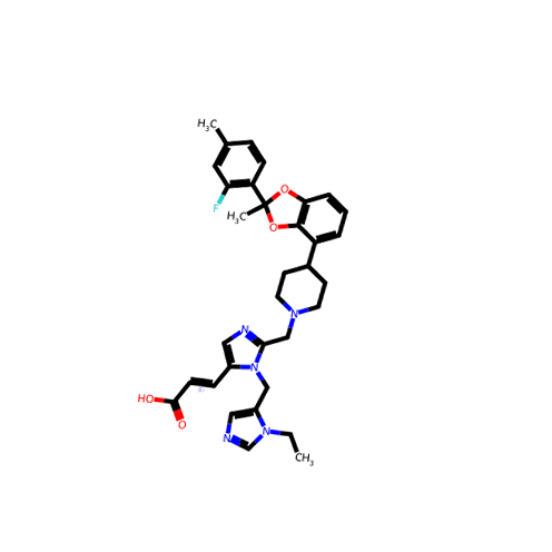 CCn1cncc1Cn1c(/C=C/C(=O)O)cnc1CN1CCC(c2cccc3c2OC(C)(c2ccc(C)cc2F)O3)CC1